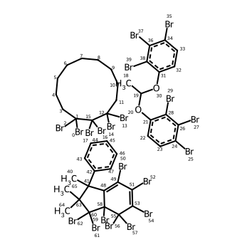 BrC1(Br)CCCCCCCCCC(Br)(Br)C1(Br)Br.CC(Oc1ccc(Br)c(Br)c1Br)Oc1ccc(Br)c(Br)c1Br.CC1(c2ccccc2)C2=C(Br)C(Br)=C(Br)C(Br)(Br)C2(Br)C(Br)(Br)C1(C)C